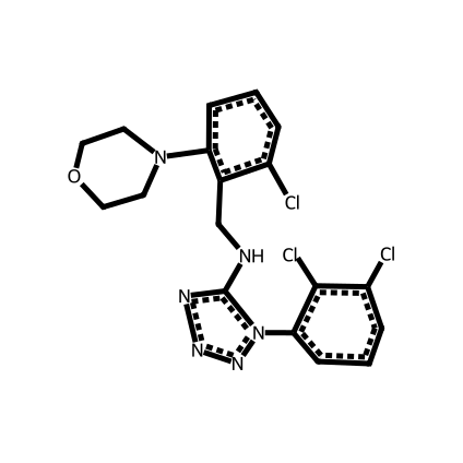 Clc1cccc(-n2nnnc2NCc2c(Cl)cccc2N2CCOCC2)c1Cl